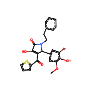 COc1cc(C2C(C(=O)c3cccs3)=C(O)C(=O)N2CCc2ccccc2)cc(Br)c1O